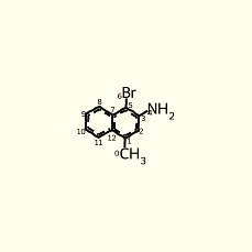 Cc1cc(N)c(Br)c2ccccc12